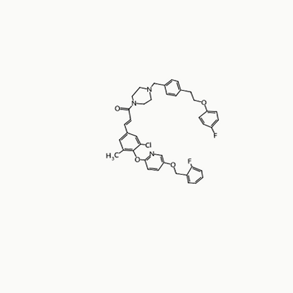 Cc1cc(C=CC(=O)N2CCN(Cc3ccc(CCOc4ccc(F)cc4)cc3)CC2)cc(Cl)c1Oc1ccc(OCc2ccccc2F)cn1